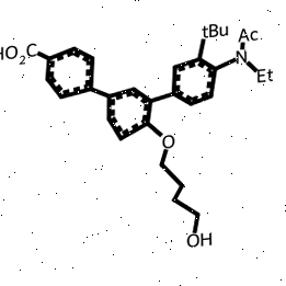 CCN(C(C)=O)c1ccc(-c2cc(-c3ccc(C(=O)O)cc3)ccc2OCCCCO)cc1C(C)(C)C